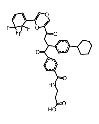 O=C(O)CCNC(=O)c1ccc(C(=O)C(CC(=O)C2=COC=C(C3=CC=CC(F)(F)C3(F)F)O2)c2ccc(C3CCCCC3)cc2)cc1